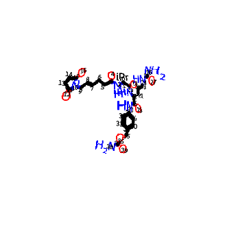 CC(C)C(NC(=O)CCCCCN1C(=O)CCC1=O)C(=O)N[C@@H](CCCNC(N)=O)C(=O)Nc1ccc(COC(N)=O)cc1